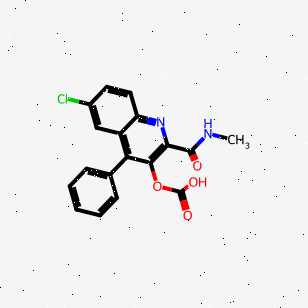 CNC(=O)c1nc2ccc(Cl)cc2c(-c2ccccc2)c1OC(=O)O